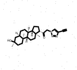 C#Cc1cn(CC(=O)[C@H]2CC[C@H]3[C@@H]4CC[C@@H]5C[C@](C)(O)CC[C@]5(C)[C@H]4CC[C@]23C)nn1